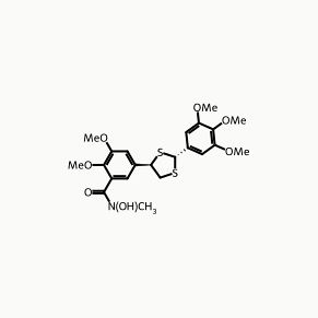 COc1cc([C@@H]2SC[C@@H](c3cc(OC)c(OC)c(C(=O)N(C)O)c3)S2)cc(OC)c1OC